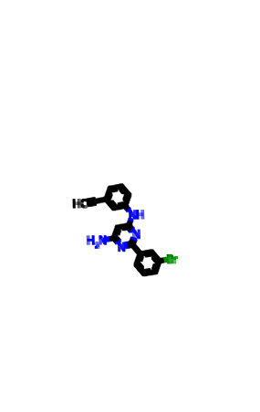 C#Cc1cccc(Nc2cc(N)nc(-c3cccc(Br)c3)n2)c1